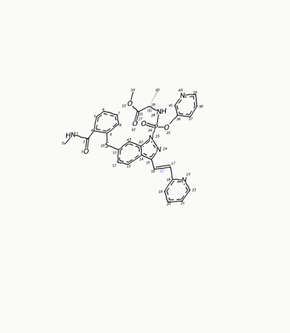 CNC(=O)c1ccccc1Sc1ccc2c(/C=C/c3ccccn3)nn(P(=O)(N[C@@H](C)C(=O)OC)Oc3cccnc3)c2c1